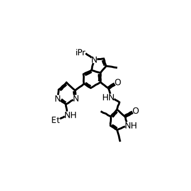 CCNc1nccc(-c2cc(C(=O)NCc3c(C)cc(C)[nH]c3=O)c3c(C)cn(C(C)C)c3c2)n1